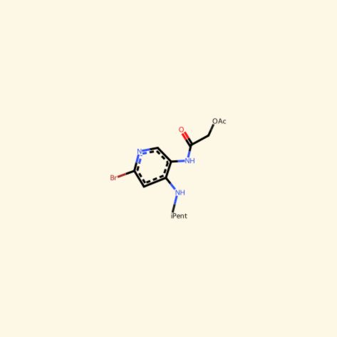 CCCC(C)Nc1cc(Br)ncc1NC(=O)COC(C)=O